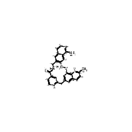 CSc1cc(Cc2cc(C(=O)NCc3ccc4c(N)nccc4c3)ccn2)cc2ccc(C)nc12